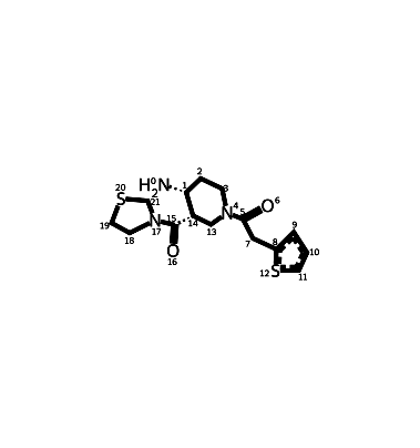 N[C@@H]1CCN(C(=O)Cc2cccs2)C[C@@H]1C(=O)N1CCSC1